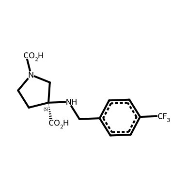 O=C(O)N1CC[C@@](NCc2ccc(C(F)(F)F)cc2)(C(=O)O)C1